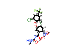 CNC(=O)N=C(OC)c1cc(Oc2c(Cl)cc(C(F)(F)F)cc2Cl)ccc1[N+](=O)[O-]